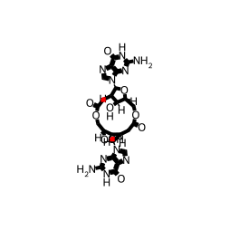 Nc1nc2c(ncn2[C@@H]2O[C@@H]3COC(=O)C[C@@H]4[C@H](O)[C@@H](COC(=O)C[C@@H]2[C@@H]3O)O[C@H]4n2cnc3c(=O)[nH]c(N)nc32)c(=O)[nH]1